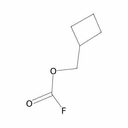 O=C(F)OCC1CCC1